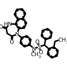 CCc1ccccc1C(c1ccccc1)S(=O)(=O)N(C)c1ccc(N2C(=O)CC(=O)Nc3c2ccc2ccccc32)cc1